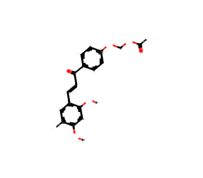 CCOc1cc(OCC)c(C(C)(C)C)cc1/C=C/C(=O)c1ccc(OCOC(=O)C(C)(C)C)cc1